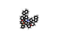 c1ccc(C2(c3ccccc3)c3cc(-c4cccc5ccccc45)ccc3N3c4ccc(-c5cccc6ccccc56)cc4C(c4ccccc4)(c4ccccc4)c4c3c2cc2c4sc3ccccc32)cc1